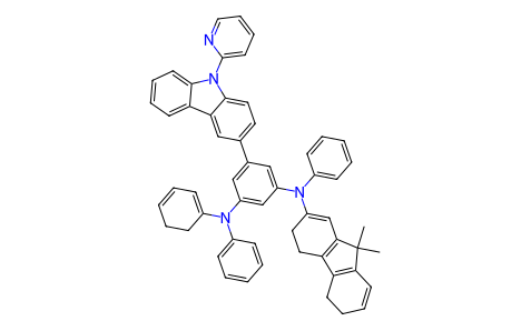 CC1(C)C2=C(CCC=C2)C2=C1C=C(N(c1ccccc1)c1cc(-c3ccc4c(c3)c3ccccc3n4-c3ccccn3)cc(N(C3=CC=CCC3)c3ccccc3)c1)CC2